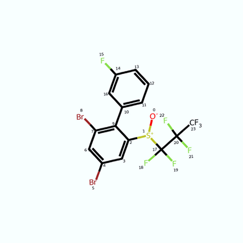 [O-][S+](c1cc(Br)[c]c(Br)c1-c1cccc(F)c1)C(F)(F)C(F)(F)C(F)(F)F